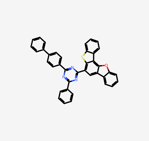 c1ccc(-c2ccc(-c3nc(-c4ccccc4)nc(-c4cc5c6ccccc6oc5c5c4sc4ccccc45)n3)cc2)cc1